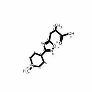 CC(Cc1nc(C2CCN(C)CC2)no1)C(=O)O